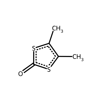 Cc1sc(=O)sc1C